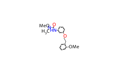 COc1ccccc1CCOc1cccc(NC(=O)N(C)OC)c1